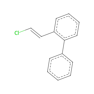 ClC=Cc1ccccc1-c1ccccc1